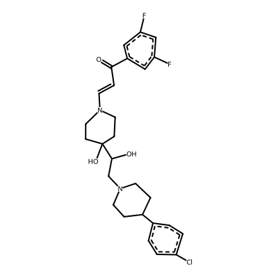 O=C(C=CN1CCC(O)(C(O)CN2CCC(c3ccc(Cl)cc3)CC2)CC1)c1cc(F)cc(F)c1